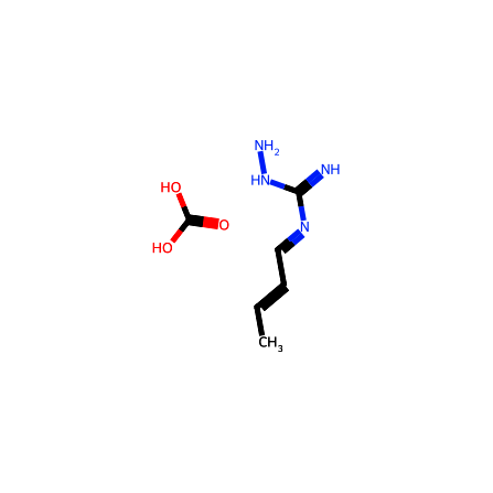 CC=CC=NC(=N)NN.O=C(O)O